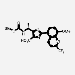 COc1ccc(-c2nc(C(=O)O)c([C@H](C)NC(=O)OC(C)(C)C)o2)c2ccc(C(F)(F)F)nc12